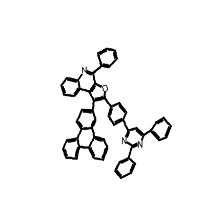 c1ccc(-c2cc(-c3ccc(-c4oc5c(-c6ccccc6)nc6ccccc6c5c4-c4ccc5c6ccccc6c6ccccc6c5c4)cc3)nc(-c3ccccc3)n2)cc1